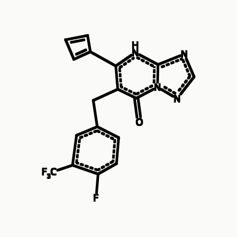 O=c1c(Cc2ccc(F)c(C(F)(F)F)c2)c(C2=CC=C2)[nH]c2ncnn12